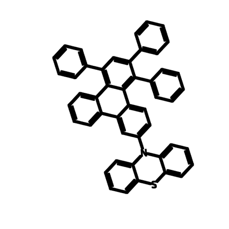 c1ccc(-c2cc(-c3ccccc3)c3c4ccccc4c4cc(N5c6ccccc6Sc6ccccc65)ccc4c3c2-c2ccccc2)cc1